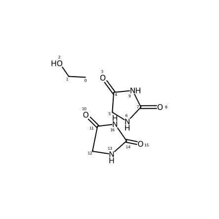 CCO.O=C1CNC(=O)N1.O=C1CNC(=O)N1